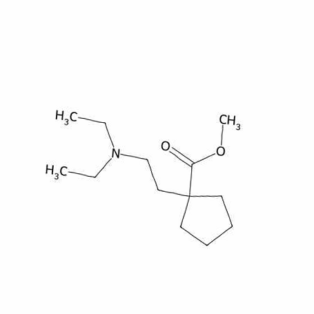 CCN(CC)CCC1(C(=O)OC)CCCC1